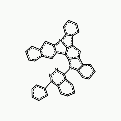 c1ccc(-c2nnc(-n3c4ccccc4c4cc5c6ccccc6n6c7cc8ccccc8cc7c(c43)c56)c3ccccc23)cc1